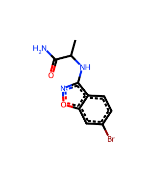 CC(Nc1noc2cc(Br)ccc12)C(N)=O